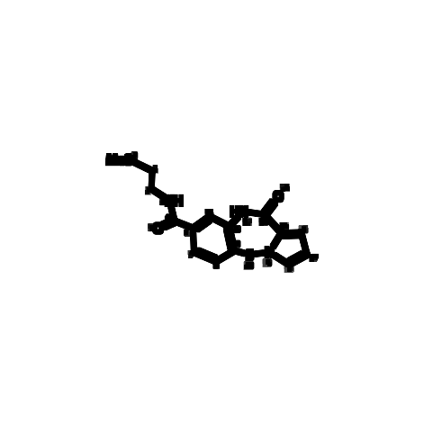 CSCCNC(=O)c1ccc2c(c1)NC(=O)c1cccn1S2